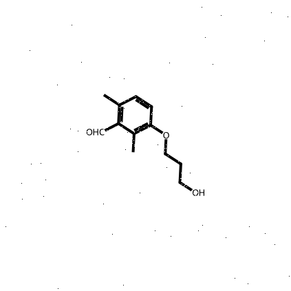 Cc1ccc(OCCCO)c(C)c1C=O